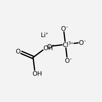 O=C(O)O.[Li+].[O-][Cl+3]([O-])([O-])[O-]